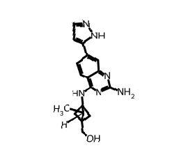 C[C@H]1C2(CO)CC1(Nc1nc(N)nc3cc(-c4ccn[nH]4)ccc13)C2